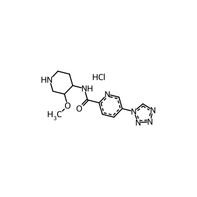 COC1CNCCC1NC(=O)c1ccc(-n2cnnn2)cn1.Cl